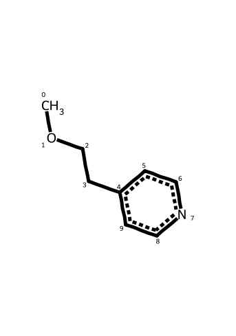 COCCc1ccncc1